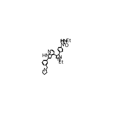 CCNC(=O)Nc1ccc(-c2nn(CC)cc2-c2ccnc3[nH]c(-c4cccc(CN5CCCC5)c4)cc23)cc1